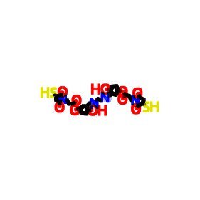 O=C(CCN1C(=O)C=C(S)C1=O)Oc1ccc(O)c(/C=N/CC/N=C/c2cc(OC(=O)CCN3C(=O)C=C(S)C3=O)ccc2O)c1